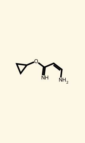 N=C(/C=C\N)OC1CC1